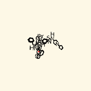 CC(C)CN(C[C@@H](O)[C@H](Cc1ccccc1)NC(=O)OC1C2CCC3C(OC2)OCC31)S(=O)(=O)c1ccc2nc(NC3CCN(C4CCCC4)CC3)sc2c1